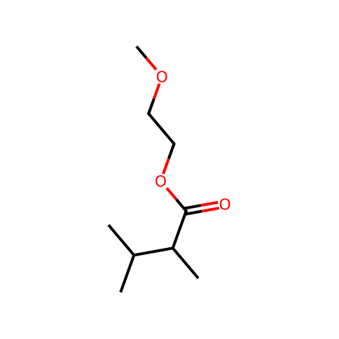 COCCOC(=O)C(C)C(C)C